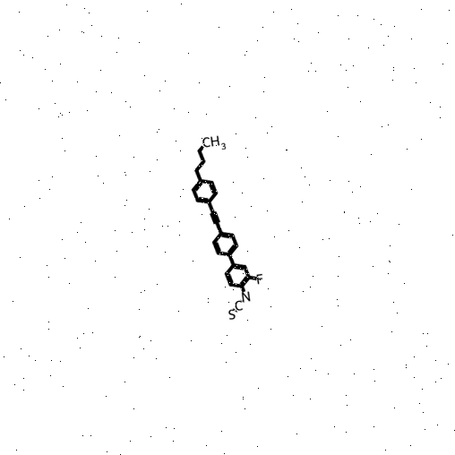 CCCCc1ccc(C#Cc2ccc(-c3ccc(N=C=S)c(F)c3)cc2)cc1